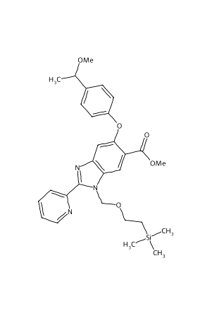 COC(=O)c1cc2c(cc1Oc1ccc(C(C)OC)cc1)nc(-c1ccccn1)n2COCC[Si](C)(C)C